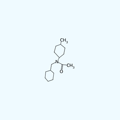 CC(=O)N(CC1CCCCC1)C1CCC(C)CC1